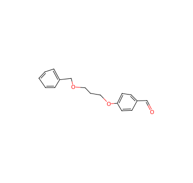 O=Cc1ccc(OCCCOCc2ccccc2)cc1